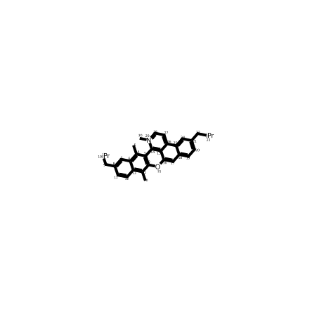 Cc1c2c(c(C)c3cc(CC(C)C)ccc13)-c1c3c(cc4ccc(CC(C)C)cc4c3cc[n+]1C)O2